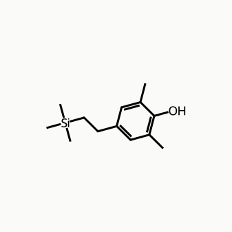 Cc1cc(CC[Si](C)(C)C)cc(C)c1O